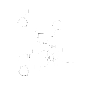 CCOP(=O)(OCC)C(O)C(O)(CCC(=O)N1CCOc2ccccc2C1)NC(=O)[C@H](CC1CCCCC1)NC(=O)OCc1cccc(Cl)c1